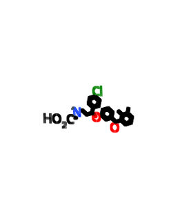 Cc1cccc(C(=O)c2cccc(OC(CCN(C)CC(=O)O)c3ccc(Cl)cc3)c2)c1C